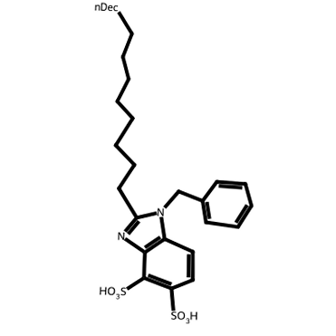 CCCCCCCCCCCCCCCCCCc1nc2c(S(=O)(=O)O)c(S(=O)(=O)O)ccc2n1Cc1ccccc1